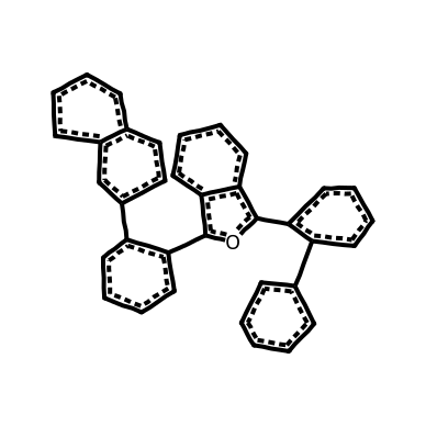 c1ccc(-c2ccccc2-c2oc(-c3ccccc3-c3ccc4ccccc4c3)c3ccccc23)cc1